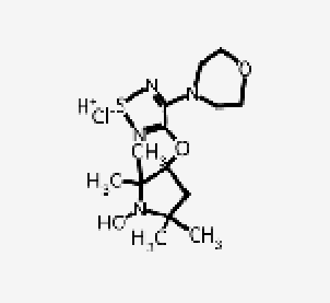 CC1(C)CC(Oc2nsnc2N2CCOCC2)C(C)(C)N1O.[Cl-].[H+]